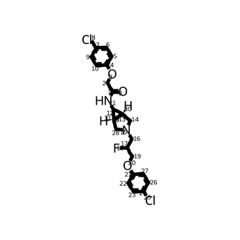 O=C(COc1ccc(Cl)cc1)NC1[C@H]2CN(CC(F)COc3ccc(Cl)cc3)C[C@@H]12